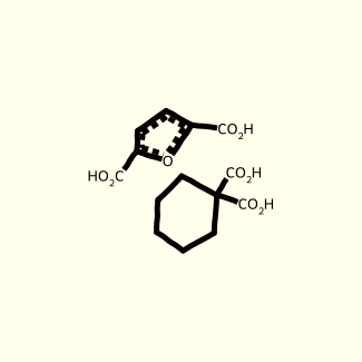 O=C(O)C1(C(=O)O)CCCCC1.O=C(O)c1ccc(C(=O)O)o1